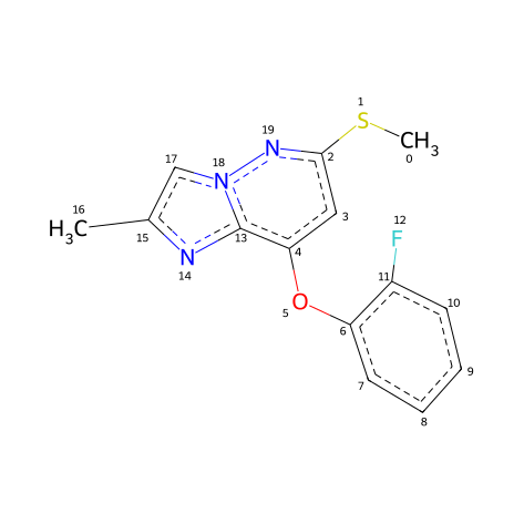 CSc1cc(Oc2ccccc2F)c2nc(C)cn2n1